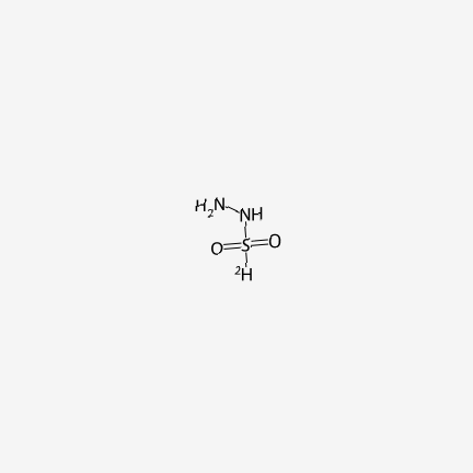 [2H]S(=O)(=O)NN